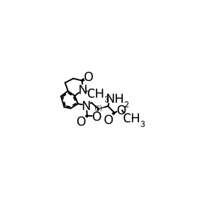 COC(=O)C(N)[C@@H]1CN(c2cccc3c2N(C)C(=O)CC3)C(=O)O1